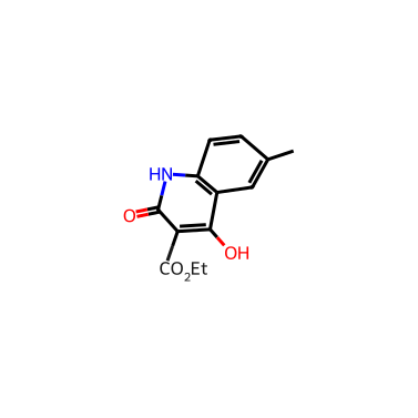 CCOC(=O)c1c(O)c2cc(C)ccc2[nH]c1=O